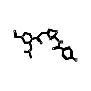 CN(C)CC1CN(C=O)CCN1C(=O)Cc1csc(NC(=O)c2ccc(Cl)cc2)n1